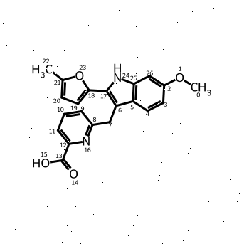 COc1ccc2c(Cc3cccc(C(=O)O)n3)c(-c3ccc(C)o3)[nH]c2c1